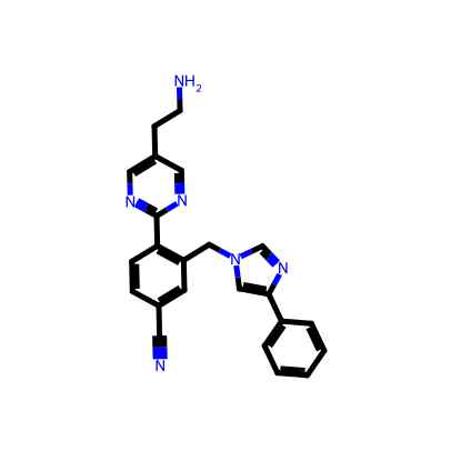 N#Cc1ccc(-c2ncc(CCN)cn2)c(Cn2cnc(-c3ccccc3)c2)c1